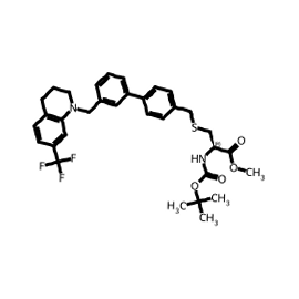 COC(=O)[C@H](CSCc1ccc(-c2cccc(CN3CCCc4ccc(C(F)(F)F)cc43)c2)cc1)NC(=O)OC(C)(C)C